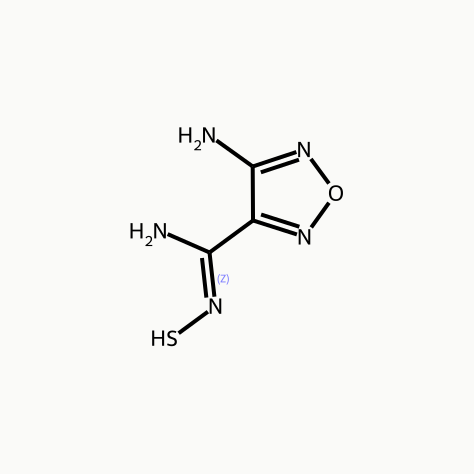 N/C(=N\S)c1nonc1N